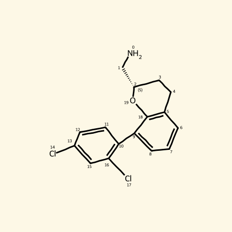 NC[C@@H]1CCc2cccc(-c3ccc(Cl)cc3Cl)c2O1